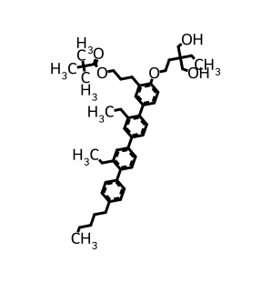 CCCCCc1ccc(-c2ccc(-c3ccc(-c4ccc(OCCC(CC)(CO)CO)c(CCCOC(=O)C(C)(C)C)c4)c(CC)c3)cc2CC)cc1